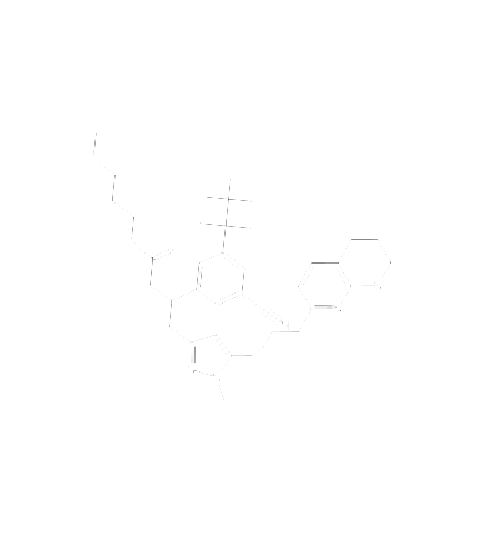 COCCCOC(=O)CC(Cc1cc(OCCc2ccc3c(n2)NCCC3)n(C)n1)c1cc(C#N)cc(C(C)(C)C(F)(F)F)c1